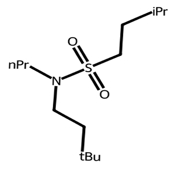 CCCN(CCC(C)(C)C)S(=O)(=O)CCC(C)C